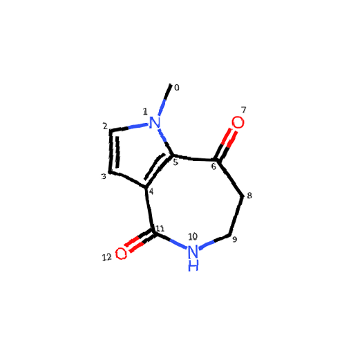 Cn1ccc2c1C(=O)CCNC2=O